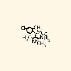 Cc1cc(Cl)ccc1[C@H]1SC[C@H](C)Nc2c1c(C)nn2C